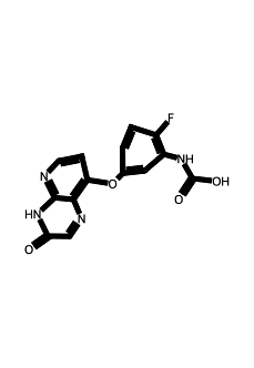 O=C(O)Nc1cc(Oc2ccnc3[nH]c(=O)cnc23)ccc1F